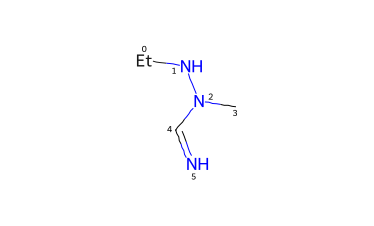 CCNN(C)C=N